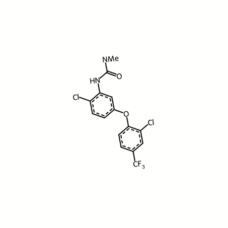 CNC(=O)Nc1cc(Oc2ccc(C(F)(F)F)cc2Cl)ccc1Cl